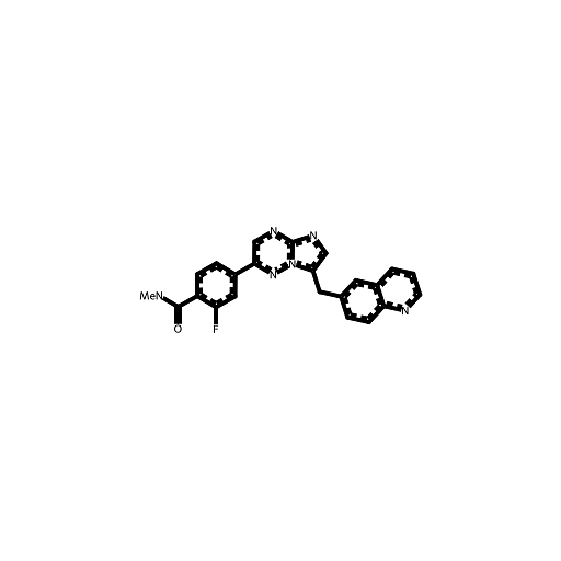 CNC(=O)c1ccc(-c2cnc3ncc(Cc4ccc5ncccc5c4)n3n2)cc1F